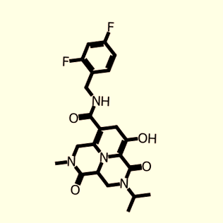 CC(C)N1CC2C(=O)N(C)CC3=C(C(=O)NCc4ccc(F)cc4F)CC(O)=C(C1=O)N32